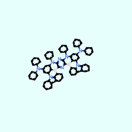 c1ccc(N(c2ccccc2)c2cc3c4c(c2)-n2c5ccccc5c5cccc(c52)B4c2nc4c(nc2N3c2ccccc2)N(c2ccccc2)c2cc(N(c3ccccc3)c3ccccc3)cc3c2B4c2cccc4c5ccccc5n-3c24)cc1